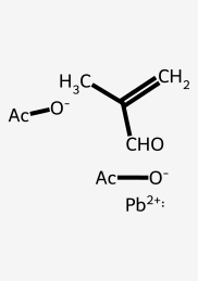 C=C(C)C=O.CC(=O)[O-].CC(=O)[O-].[Pb+2]